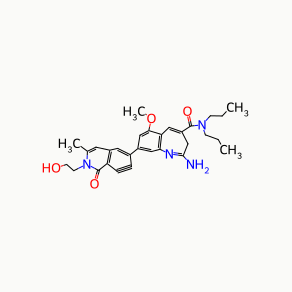 CCCN(CCC)C(=O)C1=Cc2c(cc(-c3c#cc4c(=O)n(CCO)c(C)cc4c3)cc2OC)N=C(N)C1